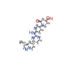 CC(C)c1cnn2ccc(-c3ccnc(Nc4ccc(N5CCC(O)CC5=O)cn4)n3)cc12